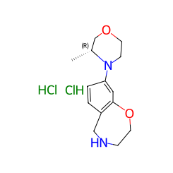 C[C@@H]1COCCN1c1ccc2c(c1)OCCNC2.Cl.Cl